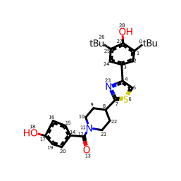 CC(C)(C)c1cc(-c2csc(C3CCN(C(=O)c4ccc(O)cc4)CC3)n2)cc(C(C)(C)C)c1O